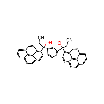 N#CCC(O)(c1cccc(C(O)(CC#N)c2ccc3ccc4cccc5ccc2c3c45)c1)c1ccc2ccc3cccc4ccc1c2c34